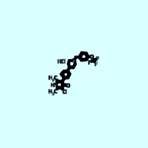 Cc1[nH]c(C)c(-c2ccc(C3=CCN(Cc4ccc(OC(F)(F)F)cc4)CC3)cc2)c(=O)c1Cl.Cl